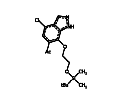 CC(=O)c1cc(Cl)c2cn[nH]c2c1OCCO[Si](C)(C)C(C)(C)C